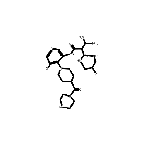 NC(N)C(C(=O)Nc1cncc(Cl)c1N1CCC(C(=O)N2CCNCC2)CC1)C1NCC(F)CN1